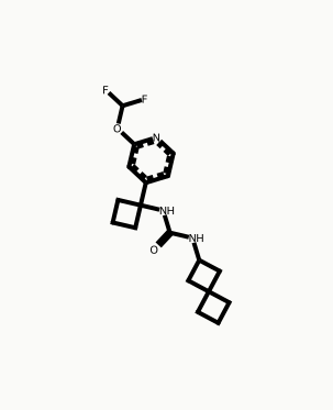 O=C(NC1CC2(CCC2)C1)NC1(c2ccnc(OC(F)F)c2)CCC1